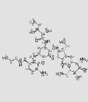 NC[C@@H]1O[C@H](O[C@H]2[C@@H](O)[C@H](O[C@@H]3[C@@H](O)[C@H](NC(=O)[C@@H](O)[C@@H](O)CN)C[C@H](N)[C@H]3O[C@H]3O[C@H](CNCCO)C=C[C@H]3N)O[C@@H]2CO)[C@H](N)[C@@H](O)[C@@H]1O